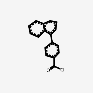 O=C(Cl)c1ccc(-c2cccc3ccccc23)cc1